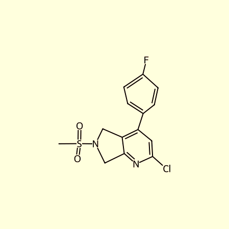 CS(=O)(=O)N1Cc2nc(Cl)cc(-c3ccc(F)cc3)c2C1